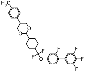 Cc1ccc(C2COC(C3CCC(C(F)(F)Oc4ccc(-c5cc(F)c(F)c(F)c5)c(F)c4)CC3)OC2)cc1